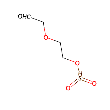 O=[C]COCCO[SH](=O)=O